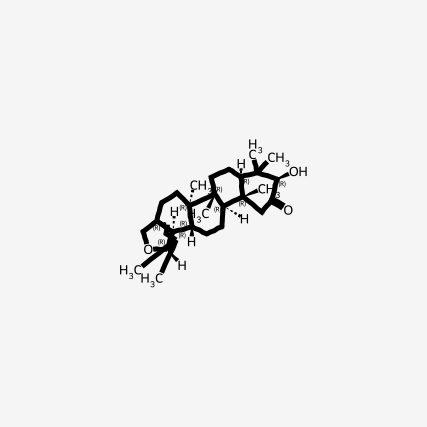 CC1(C)CC[C@]23CC[C@]4(C)[C@H](CC[C@@H]5[C@@]6(C)CC(=O)[C@H](O)C(C)(C)[C@@H]6CC[C@]54C)[C@H]2[C@H]1OC3